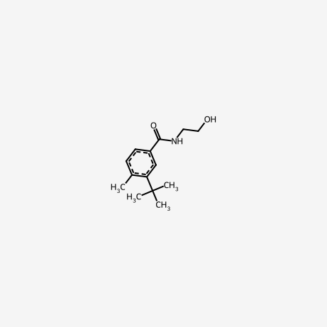 Cc1ccc(C(=O)NCCO)cc1C(C)(C)C